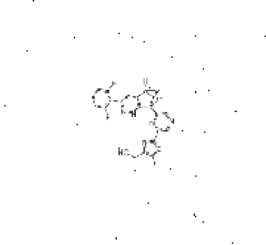 Cc1oc(-c2cncc([C@@]34CC[C@@H](c5cc(-c6c(F)cccc6F)nnc53)C4(C)C)n2)nc1CO